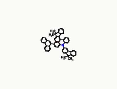 CC1(C)c2ccccc2-c2cc(N(c3ccc(-c4cc5ccccc5c5ccccc45)cc3)c3ccccc3-c3cccc4c3-c3ccccc3C4(C)C)ccc21